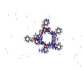 O=C1N[C@@H](Cc2cccnc2)C(=O)N2C[C@H](Oc3ccncc3)C[C@H]2C(=O)N[C@H](CCc2ccccc2)C(=O)N[C@H](Cc2c[nH]c3ccccc23)C(=O)N[C@@H](CC2CCNCC2)C(=O)N[C@H]1Cc1ccc(OCc2ccccc2)cc1